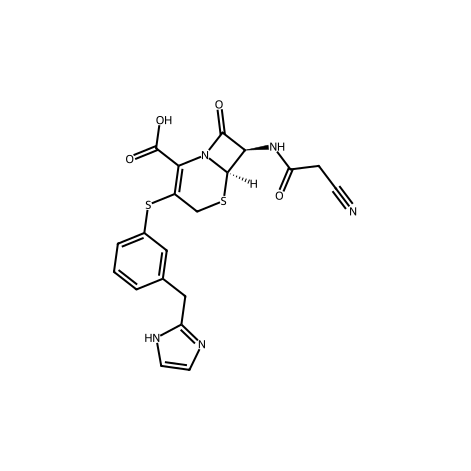 N#CCC(=O)N[C@@H]1C(=O)N2C(C(=O)O)=C(Sc3cccc(Cc4ncc[nH]4)c3)CS[C@H]12